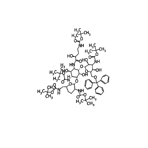 CC(C)(C)OC(=O)NCC[C@H](O)C(=O)NC1[C@H](O[C@H]2OC(COC(c3ccccc3)(c3ccccc3)c3ccccc3)[C@H](O)C(NC(=O)OC(C)(C)C)[C@@H]2O)C(O)C(O[C@H]2OC(CNC(=O)OC(C)(C)C)CCC2NC(=O)OC(C)(C)C)[C@H](NC(=O)OC(C)(C)C)[C@H]1O